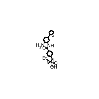 CCC1CC1(Cc1ccc(C(=O)Nc2cc(-c3cccs3)ccc2N)cc1)[PH](=O)O